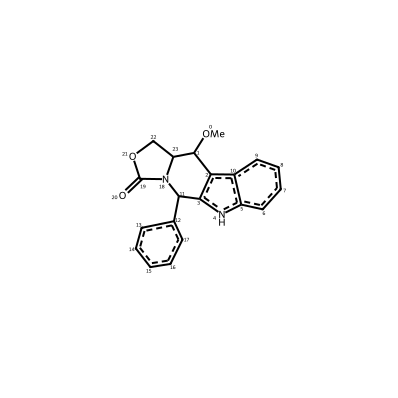 COC1c2c([nH]c3ccccc23)C(c2ccccc2)N2C(=O)OCC12